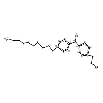 CCCCCCCCCCc1ccc(C(O)c2ccc(CCO)cc2)cc1